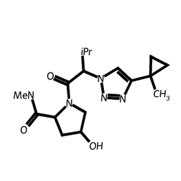 CNC(=O)C1CC(O)CN1C(=O)C(C(C)C)n1cc(C2(C)CC2)nn1